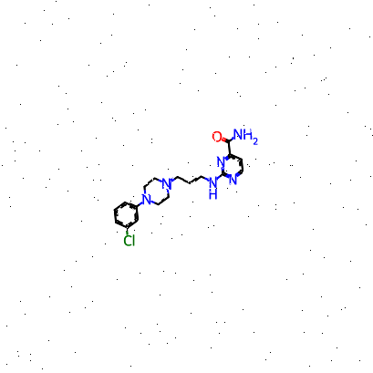 NC(=O)c1ccnc(NCCCN2CCN(c3cccc(Cl)c3)CC2)n1